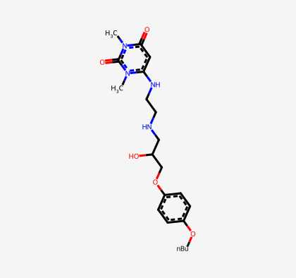 CCCCOc1ccc(OCC(O)CNCCNc2cc(=O)n(C)c(=O)n2C)cc1